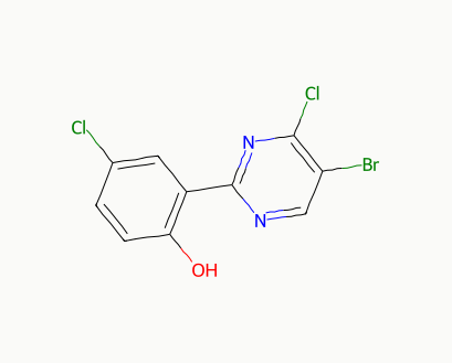 Oc1ccc(Cl)cc1-c1ncc(Br)c(Cl)n1